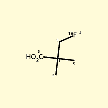 CC(C)(C[18F])C(=O)O